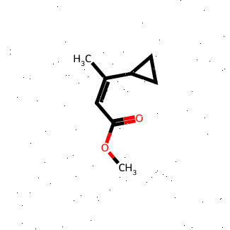 COC(=O)/C=C(/C)C1CC1